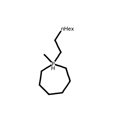 CCCCCCCC[PH]1(C)CCCCCC1